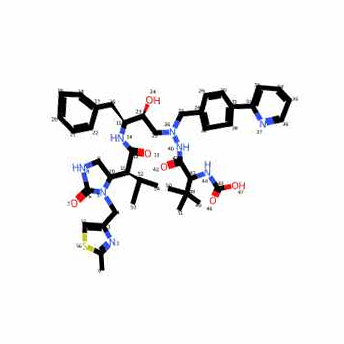 Cc1nc(CN2C(=O)NCC2[C@@H](C(=O)N[C@@H](Cc2ccccc2)[C@@H](O)CN(Cc2ccc(-c3ccccn3)cc2)NC(=O)C(NC(=O)O)C(C)(C)C)C(C)C)cs1